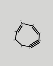 C1#CCCC=NC=C1